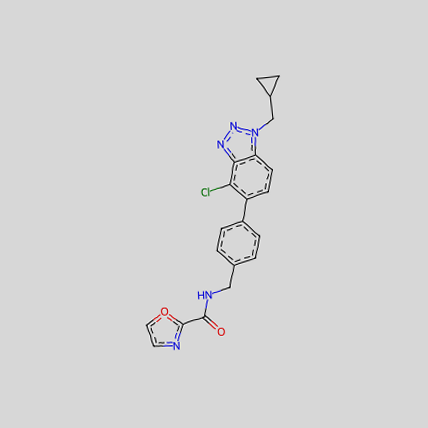 O=C(NCc1ccc(-c2ccc3c(nnn3CC3CC3)c2Cl)cc1)c1ncco1